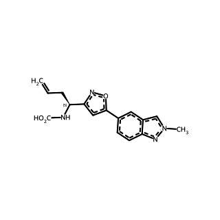 C=CC[C@H](NC(=O)O)c1cc(-c2ccc3nn(C)cc3c2)on1